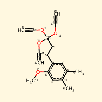 C#CO[Si](CCc1cc(C)c(C)cc1OC)(OC#C)OC#C